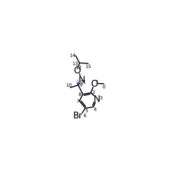 COc1ncc(Br)cc1/C(C)=N/OC(C)C